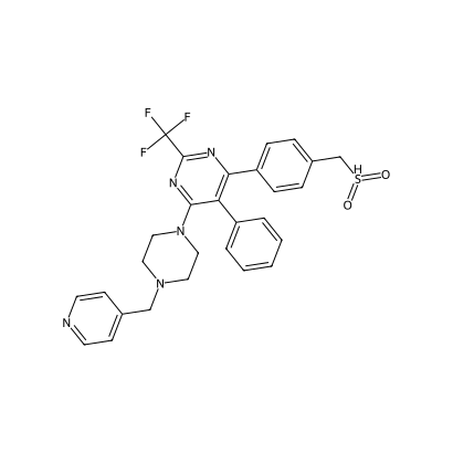 O=[SH](=O)Cc1ccc(-c2nc(C(F)(F)F)nc(N3CCN(Cc4ccncc4)CC3)c2-c2ccccc2)cc1